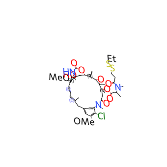 CCSSCCC(=O)N(C)C(C)C(=O)O[C@H]1CC(=O)N(C)c2cc(cc(OC)c2Cl)C/C(C)=C/C=C/[C@@H](OC)[C@@]2(O)CC(OC(=O)N2)[C@@H](C)C2OC21C